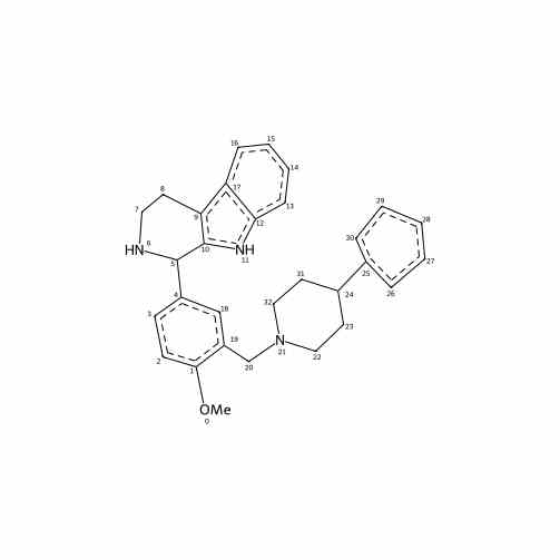 COc1ccc(C2NCCc3c2[nH]c2ccccc32)cc1CN1CCC(c2ccccc2)CC1